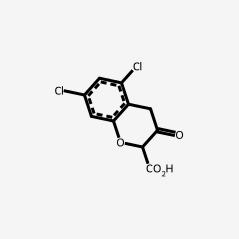 O=C(O)C1Oc2cc(Cl)cc(Cl)c2CC1=O